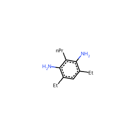 CCCc1c(N)c(CC)cc(CC)c1N